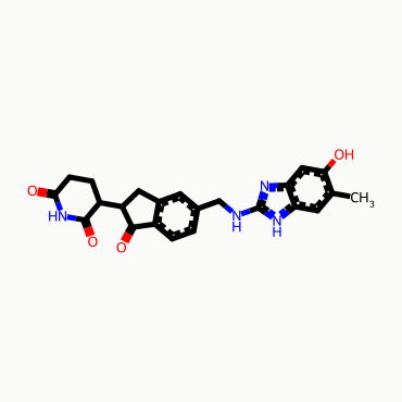 Cc1cc2[nH]c(NCc3ccc4c(c3)CC(C3CCC(=O)NC3=O)C4=O)nc2cc1O